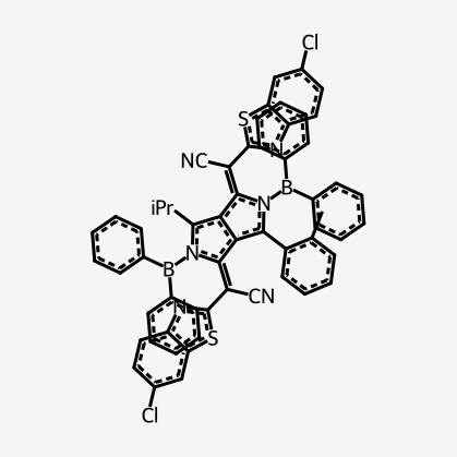 Cc1ccccc1-c1c2/c(=C(\C#N)c3nc4ccc(Cl)cc4s3)n(B(c3ccccc3)c3ccccc3)c(C(C)C)c2/c(=C(\C#N)c2nc3ccc(Cl)cc3s2)n1B(c1ccccc1)c1ccccc1